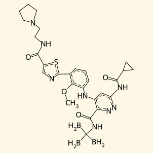 BC(B)(B)NC(=O)c1nnc(NC(=O)C2CC2)cc1Nc1cccc(-c2ncc(C(=O)NCCN3CCCC3)s2)c1OC